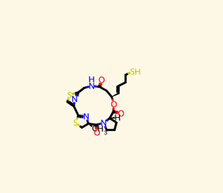 C[C@@]12CSC(=N1)c1csc(n1)CNC(=O)C[C@@H](/C=C/CCS)OC(=O)[C@@H]1CCCN1C2=O